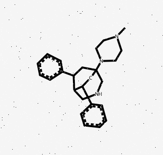 CN1CCN(C23CNCC(C(c4ccccc4)C2)C(c2ccccc2)C3)CC1